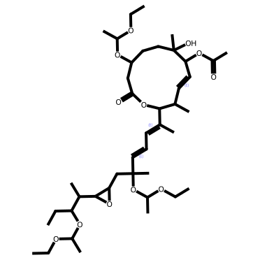 CCOC(C)OC1CCC(C)(O)C(OC(C)=O)/C=C/C(C)C(/C(C)=C/C=C/C(C)(CC2OC2C(C)C(CC)OC(C)OCC)OC(C)OCC)OC(=O)C1